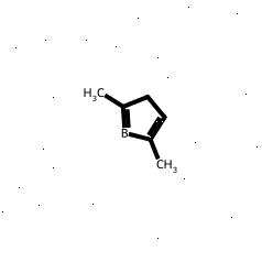 CC1=BC(C)=CC1